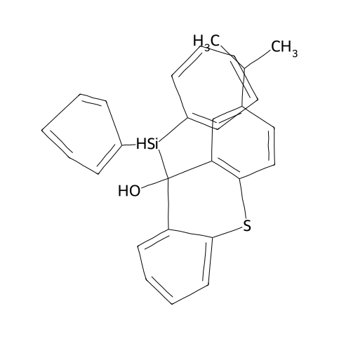 CC(C)c1ccc2c(c1)C(O)([SiH](c1ccccc1)c1ccccc1)c1ccccc1S2